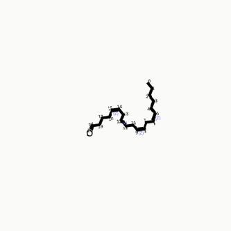 CCCCC/C=C\C/C=C\C/C=C\C/C=C\CCC[C]=O